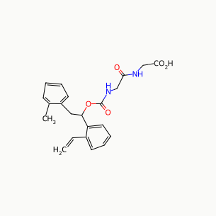 C=Cc1ccccc1C(Cc1ccccc1C)OC(=O)NCC(=O)NCC(=O)O